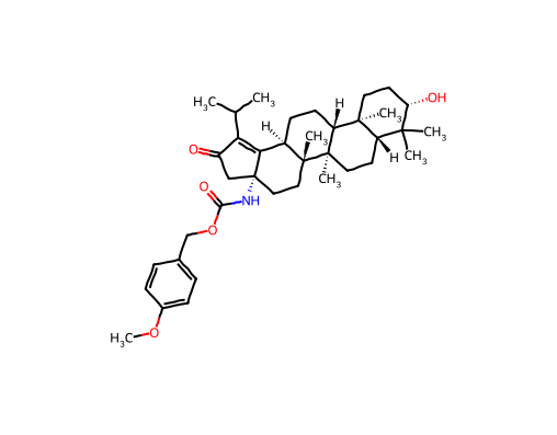 COc1ccc(COC(=O)N[C@@]23CC[C@]4(C)[C@H](CC[C@@H]5[C@@]6(C)CC[C@H](O)C(C)(C)[C@@H]6CC[C@]54C)C2=C(C(C)C)C(=O)C3)cc1